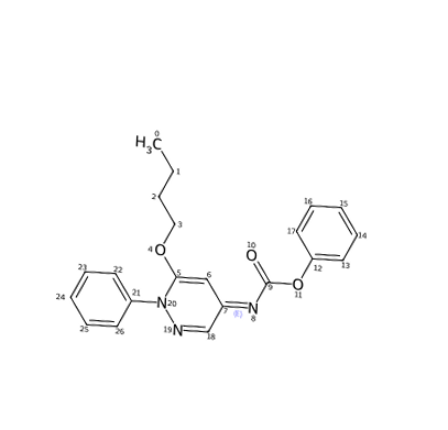 CCCCOc1c/c(=N\C(=O)Oc2ccccc2)cnn1-c1ccccc1